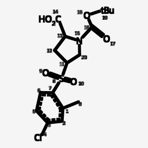 Cc1cc(Cl)ccc1S(=O)(=O)C1CC(C(=O)O)N(C(=O)OC(C)(C)C)C1